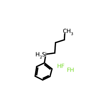 CCCC[SiH2]c1ccccc1.F.F